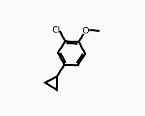 COc1ccc(C2CC2)cc1Cl